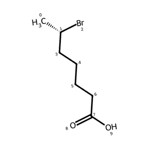 C[C@H](Br)CCCCC(=O)O